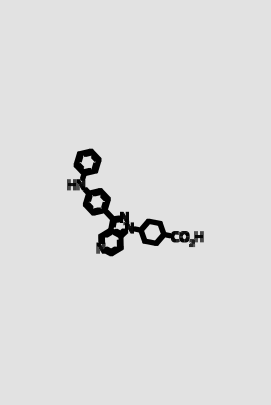 O=C(O)C1CCC(n2nc(-c3ccc(Nc4ccccc4)cc3)c3cnccc32)CC1